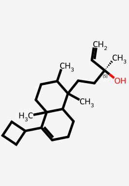 C=C[C@@](C)(O)CCC1(C)C(C)CCC2(C)C(C3CCC3)=CCCC21